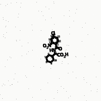 O=C(NC(C(=O)O)C1CCCCC1)c1ccc(Cl)cc1[N+](=O)[O-]